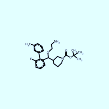 Cc1cccc(-c2c(F)cccc2C(OCCN)C2CCCN(C(=O)OC(C)(C)C)C2)c1